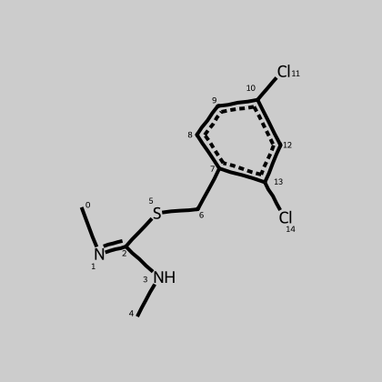 C/N=C(/NC)SCc1ccc(Cl)cc1Cl